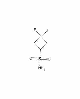 NS(=O)(=O)C1CC(F)(F)C1